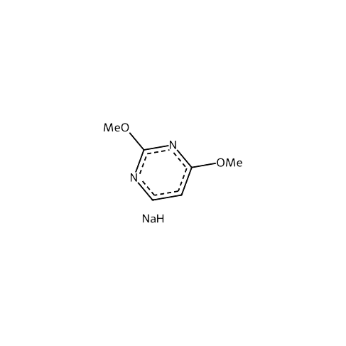 COc1ccnc(OC)n1.[NaH]